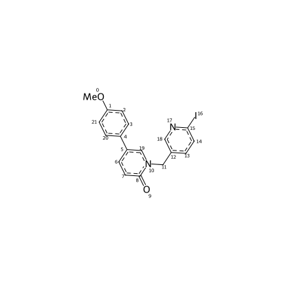 COc1ccc(-c2ccc(=O)n(Cc3ccc(I)nc3)c2)cc1